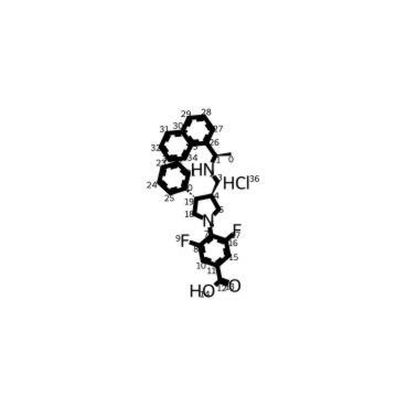 C[C@@H](NC[C@H]1CN(c2c(F)cc(C(=O)O)cc2F)C[C@@H]1c1ccccc1)c1cccc2ccccc12.Cl